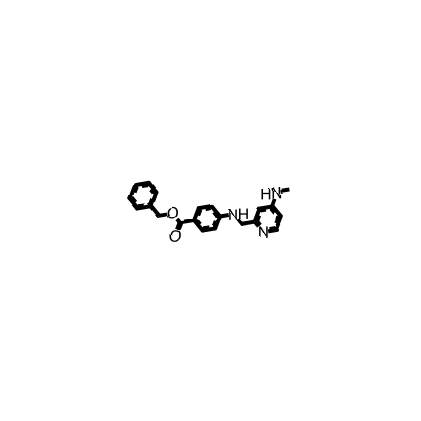 CNc1ccnc(CNc2ccc(C(=O)OCc3ccccc3)cc2)c1